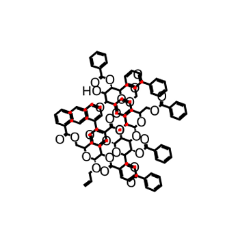 C=CCO[C@@H]1OC(COC(=O)c2ccccc2)[C@H](OCc2ccccc2)C(O[C@H]2OC(COC(=O)c3ccccc3)[C@H](OC(=O)c3ccccc3)C(O[C@@H]3OC(COC(=O)c4ccccc4)[C@H](OCc4ccccc4)C(O[C@H]4OC(COC(=O)c5ccccc5)[C@H](OC(=O)c5ccccc5)C(O)C4OCc4ccccc4)C3OC(=O)c3ccccc3)C2OCc2ccccc2)C1OC(=O)c1ccccc1